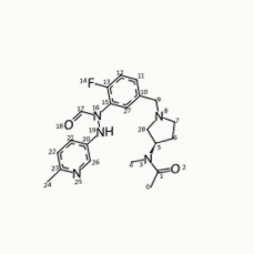 CC(=O)N(C)[C@@H]1CCN(Cc2ccc(F)c(N(C=O)Nc3ccc(C)nc3)c2)C1